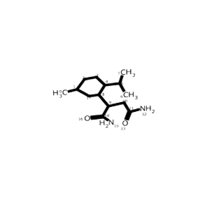 CC1CCC(C(C)C)C(C(CC(N)=O)C(N)=O)C1